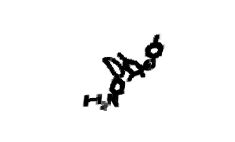 Cc1ccc(Oc2cc(C)c(Oc3ccc(N)cc3)c(C)c2C)cc1